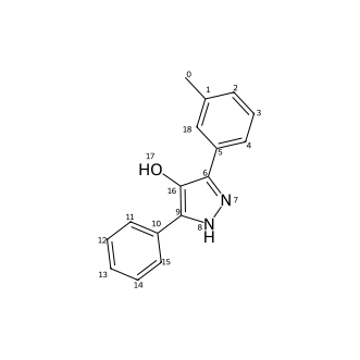 Cc1cccc(-c2n[nH]c(-c3ccccc3)c2O)c1